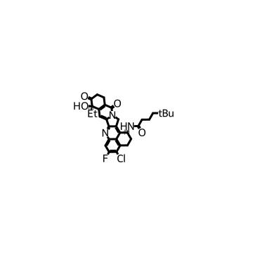 CC[C@@]1(O)C(=O)CCc2c1cc1n(c2=O)Cc2c-1nc1cc(F)c(Cl)c3c1c2[C@H](NC(=O)CCCC(C)(C)C)CC3